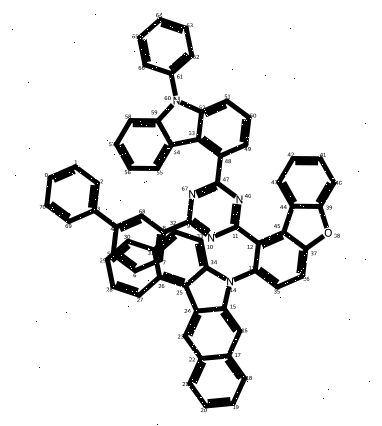 c1ccc(-c2cccc(-c3nc(-c4c(-n5c6cc7ccccc7cc6c6c7ccccc7ccc65)ccc5oc6ccccc6c45)nc(-c4cccc5c4c4ccccc4n5-c4ccccc4)n3)c2)cc1